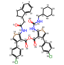 O=C(CC1CCc2ccccc21)Nc1scc(-c2ccc(Cl)cc2)c1C(=O)OC(=O)c1c(-c2ccc(Cl)cc2)csc1NC(=O)NCC1CCCCC1